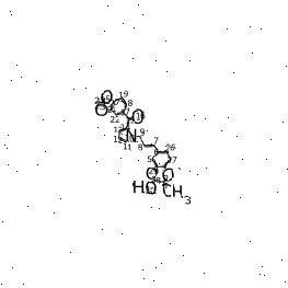 CC(Oc1ccc(/C=C/Cn2cccc2C(=O)c2ccc3c(c2)OCO3)cc1)C(=O)O